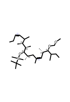 CC/C=C\C(C)[C@H](C)[C@@H](C)[C@H](O[Si](C)(C)C(C)(C)C)[C@@H](C)C/C(C)=C\[C@H](C)[C@@H](OCOC)C(C)CC